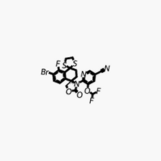 N#Cc1cnc(N2C(=O)OC[C@@]23CCC2(SCCS2)c2c3ccc(Br)c2F)c(OC(F)F)c1